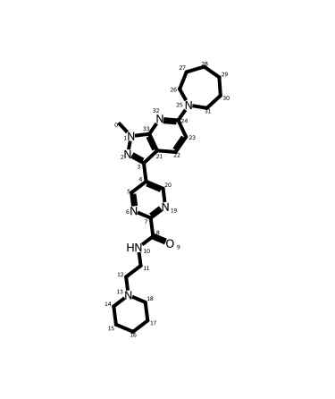 Cn1nc(-c2cnc(C(=O)NCCN3CCCCC3)nc2)c2ccc(N3CCCCCC3)nc21